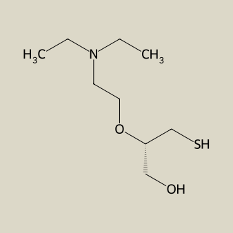 CCN(CC)CCO[C@@H](CO)CS